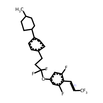 CC1CCC(c2ccc(CCC(F)(F)Oc3cc(F)c(/C=C/C(F)(F)F)c(F)c3)cc2)CC1